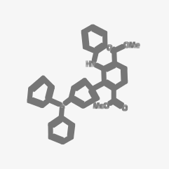 COC(=O)c1ccc(C(=O)OC)c(-c2ccc(N(c3ccccc3)c3ccccc3)cc2)c1Nc1ccccc1